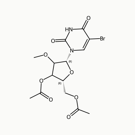 COC1C(OC(C)=O)[C@@H](COC(C)=O)O[C@H]1n1cc(Br)c(=O)[nH]c1=O